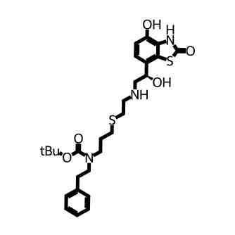 CC(C)(C)OC(=O)N(CCCSCCNC[C@H](O)c1ccc(O)c2[nH]c(=O)sc12)CCc1ccccc1